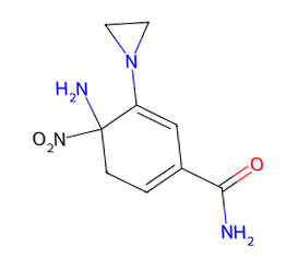 NC(=O)C1=CCC(N)([N+](=O)[O-])C(N2CC2)=C1